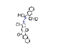 O=Cc1cc2ccccc2cc1/C(O)=C/C=C1\CCC(C=C2C(=O)c3cc4ccccc4cc3C2=O)=C1Cl